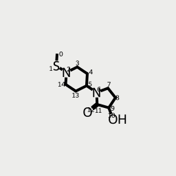 CSN1CCC(N2CCC(O)C2=O)CC1